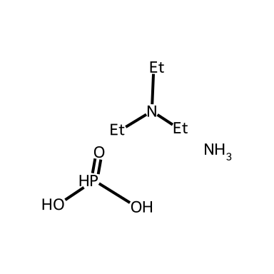 CCN(CC)CC.N.O=[PH](O)O